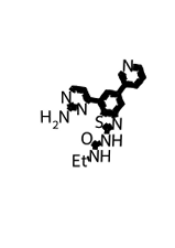 CCNC(=O)Nc1nc2cc(-c3cccnc3)cc(-c3ccnc(N)n3)c2s1